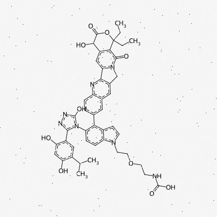 CCC1(CC)OC(=O)C(O)c2cc3n(c(=O)c21)Cc1cc2cc(-c4c(-n5c(O)nnc5-c5cc(C(C)C)c(O)cc5O)ccc5c4ccn5CCOCCNC(=O)O)ccc2nc1-3